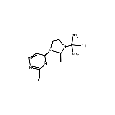 BC(B)(O)N1CCN(c2ccnc(Cl)n2)C1=C